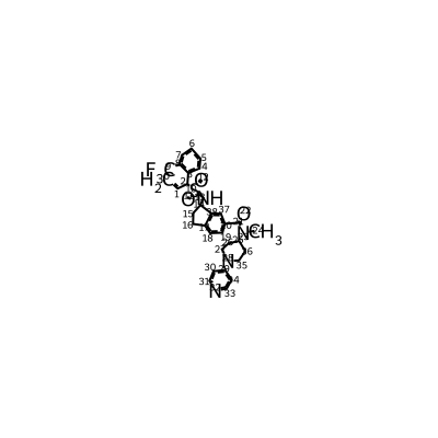 C=CC(c1ccccc1C(F)(F)F)S(=O)(=O)NC1CCc2ccc(C(=O)N(C)C3CCN(c4ccncc4)CC3)cc21